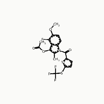 COc1ccc2c(c1F)c(OC(C)=O)c(C)n2C(=O)c1ccc(SC(F)(F)F)s1